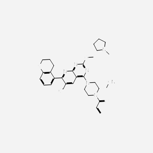 C=CC(=O)N1CCN(c2nc(OC[C@@H]3CCCN3C)nc3nc(-c4cccc5c4CCCS5)c(Cl)cc23)C[C@@H]1CC#N